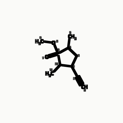 C#CC1CC(C)P(=O)(OC)C1C